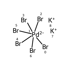 [Br][Pd-2]([Br])([Br])([Br])([Br])[Br].[K+].[K+]